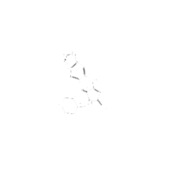 O=C1C=C(Oc2ccc3cn[nH]c3c2)C(=O)N1CC1CCOCC1